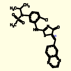 CC(C)N(c1ccc(Cl)c(NC2=NC(=O)/C(=C/c3ccc4nccnc4c3)S2)c1)S(C)(=O)=O